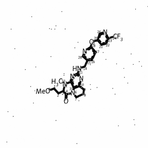 COCCC1C(=O)N2CCCc3nc(NCc4ccc(Oc5ccc(C(F)(F)F)nc5)nc4)nc(c32)N1C